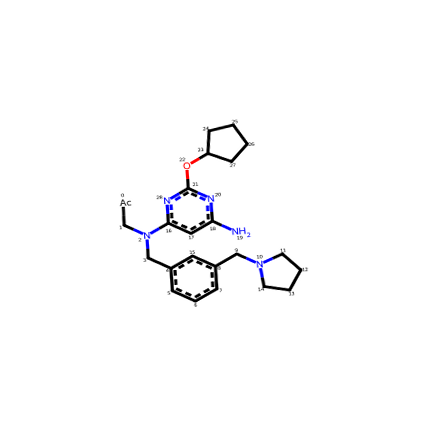 CC(=O)CN(Cc1cccc(CN2CCCC2)c1)c1cc(N)nc(OC2CCCC2)n1